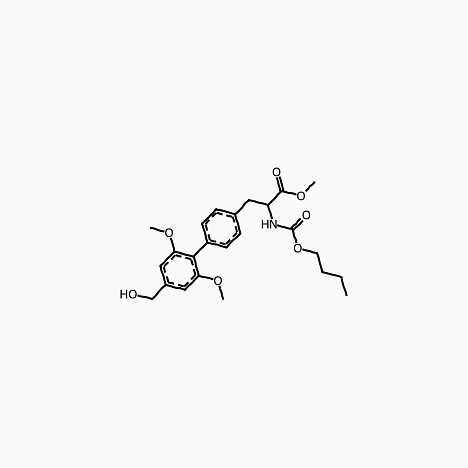 CCCCOC(=O)NC(Cc1ccc(-c2c(OC)cc(CO)cc2OC)cc1)C(=O)OC